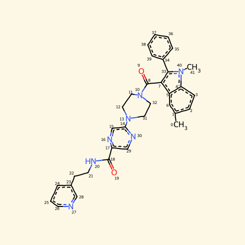 Cc1ccc2c(c1)c(C(=O)N1CCN(c3cnc(C(=O)NCCc4cccnc4)cn3)CC1)c(-c1ccccc1)n2C